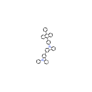 C1=Cc2c(c3cc(-c4ccc5c(c4)c4ccccc4n5-c4ccc(-c5c6ccccc6c(-c6ccccc6)c6ccccc56)cc4)ccc3n2-c2ccccc2)CC1